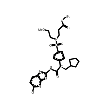 COCCN(CCC(=O)OC(C)(C)C)S(=O)(=O)c1ccc([C@@H](CC2CCCC2)C(=O)Nc2nc3ccc(Cl)nc3s2)cc1